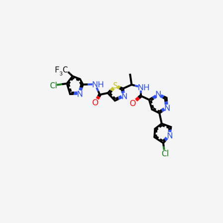 CC(NC(=O)c1cc(-c2ccc(Cl)nc2)ncn1)c1ncc(C(=O)Nc2cc(C(F)(F)F)c(Cl)cn2)s1